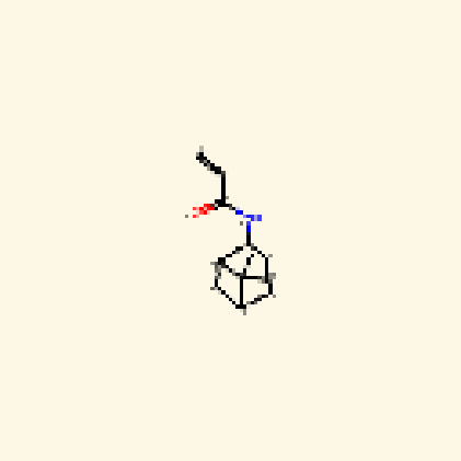 C=CC(=O)NC1CCC2CC1C2(C)C